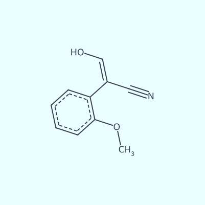 COc1ccccc1/C(C#N)=C\O